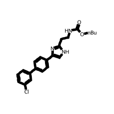 CCCCOC(=O)NCCc1nc(-c2ccc(-c3cccc(Cl)c3)cc2)c[nH]1